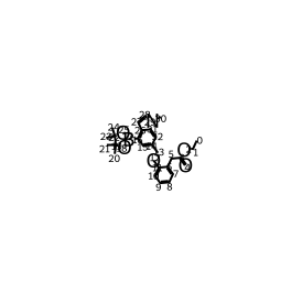 CCOC(=O)Cc1ccccc1OCc1cc(B2OC(C)(C)C(C)(C)O2)c2ccn(C)c2c1